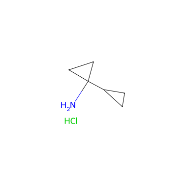 Cl.NC1(C2CC2)CC1